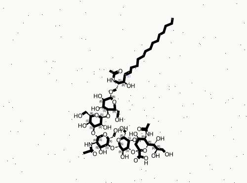 CCCCCCCCCCCCC/C=C/[C@@H](O)[C@H](CO[C@@H]1O[C@H](CO)[C@@H](O[C@@H]2O[C@H](CO)[C@H](O)[C@H](O[C@@H]3O[C@H](CO)[C@@H](O[C@@H]4O[C@H](CO)[C@H](O)[C@H](O[C@]5(C(=O)O)C[C@H](O)[C@@H](NC(C)=O)[C@H]([C@H](O)[C@H](O)CO)O5)[C@H]4O)[C@H](O)[C@H]3NC(C)=O)[C@H]2O)[C@H](O)[C@H]1O)NC(C)=O